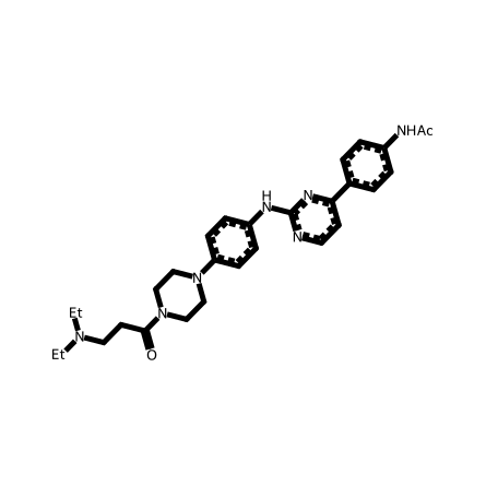 CCN(CC)CCC(=O)N1CCN(c2ccc(Nc3nccc(-c4ccc(NC(C)=O)cc4)n3)cc2)CC1